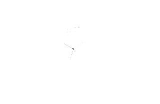 CC(=O)[O-].[Fe].[Li+]